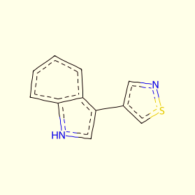 c1ccc2c(-c3cnsc3)c[nH]c2c1